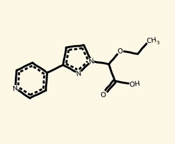 CCOC(C(=O)O)n1ccc(-c2ccncc2)n1